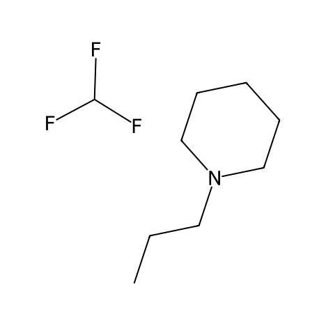 CCCN1CCCCC1.FC(F)F